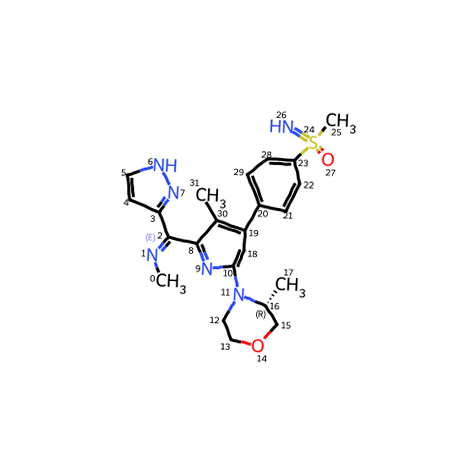 C/N=C(/c1cc[nH]n1)c1nc(N2CCOC[C@H]2C)cc(-c2ccc(S(C)(=N)=O)cc2)c1C